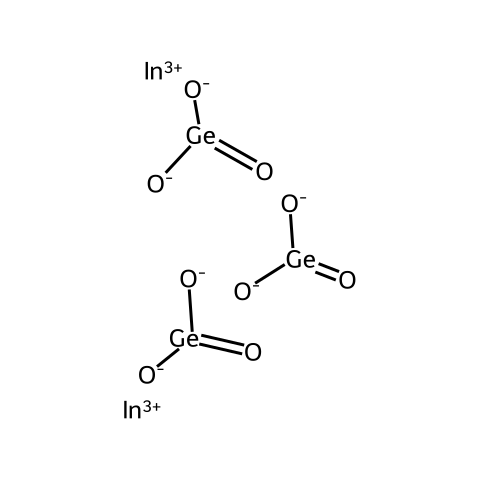 [In+3].[In+3].[O]=[Ge]([O-])[O-].[O]=[Ge]([O-])[O-].[O]=[Ge]([O-])[O-]